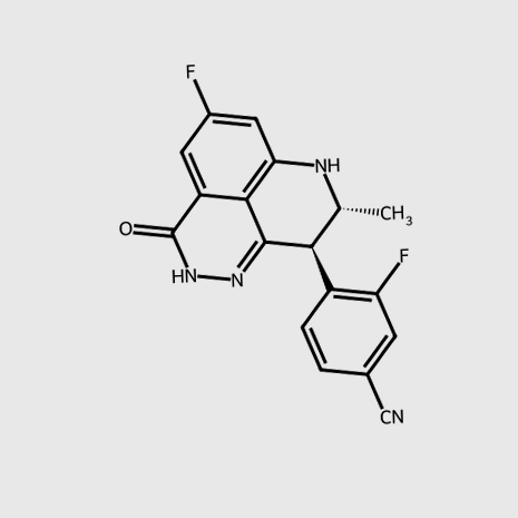 C[C@H]1Nc2cc(F)cc3c(=O)[nH]nc(c23)[C@@H]1c1ccc(C#N)cc1F